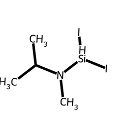 CC(C)N(C)[SiH](I)I